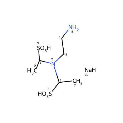 CC(N(CCN)C(C)S(=O)(=O)O)S(=O)(=O)O.[NaH]